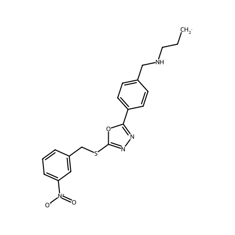 [CH2]CCNCc1ccc(-c2nnc(SCc3cccc([N+](=O)[O-])c3)o2)cc1